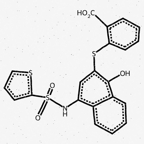 O=C(O)c1ccccc1Sc1cc(NS(=O)(=O)c2cccs2)c2ccccc2c1O